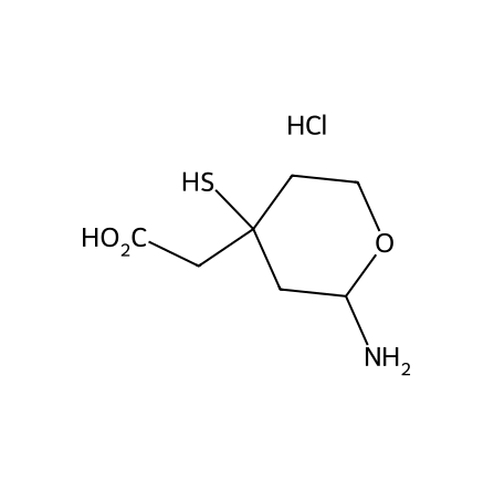 Cl.NC1CC(S)(CC(=O)O)CCO1